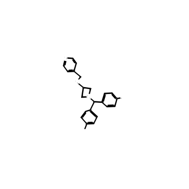 Clc1ccc(C(c2ccc(Cl)cc2)N2CC(NCc3ccncc3)C2)cc1